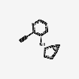 C#Cc1ncccc1O.c1cc2cc-2c1